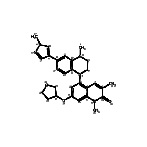 Cc1cc2c(N3CCN(C)c4cc(-c5cnn(C)c5)ncc43)cc(OC3CCOC3)cc2n(C)c1=O